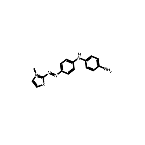 C[n+]1ccsc1N=Nc1ccc(Nc2ccc(N)cc2)cc1